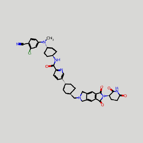 CN(c1ccc(C#N)c(Cl)c1)[C@H]1CC[C@H](NC(=O)c2ccc([C@H]3CC[C@H](CN4Cc5cc6c(cc5C4)C(=O)N([C@@H]4CCC(=O)NC4=O)C6=O)CC3)cn2)CC1